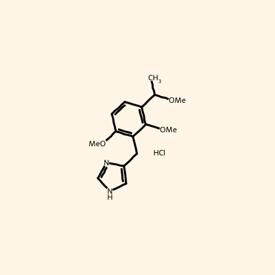 COc1ccc(C(C)OC)c(OC)c1Cc1c[nH]cn1.Cl